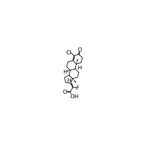 C[C@]12CCC(=O)C(Cl)=C1CC[C@@H]1[C@@H]2CC[C@]2(C)C(=C(F)C(=O)O)CC[C@@H]12